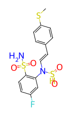 CSc1ccc(C=CN(c2cc(F)ccc2S(N)(=O)=O)[SH](=O)=O)cc1